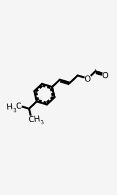 CC(C)c1ccc(C=CCO[C]=O)cc1